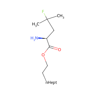 CCCCCCCCCOC(=O)[C@@H](N)CC(C)(C)F